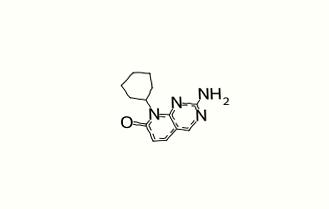 Nc1ncc2ccc(=O)n(C3CCCCC3)c2n1